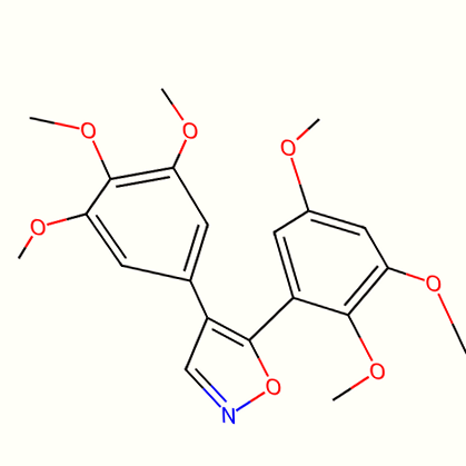 COc1cc(OC)c(OC)c(-c2oncc2-c2cc(OC)c(OC)c(OC)c2)c1